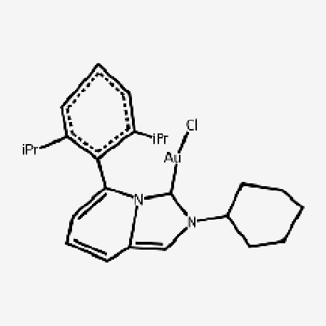 CC(C)c1cccc(C(C)C)c1C1=CC=CC2=CN(C3CCCCC3)[CH]([Au][Cl])N21